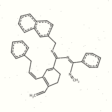 C=CC1=C(/C=C\Cc2ccccc2)C=C(C(=N/Cc2ccc3ccccc3c2)/N=C(\N=C)c2ccccc2)CC1